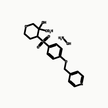 NO.O=C(O)C1(O)COCCC1S(=O)(=O)c1ccc(OCc2ccncc2)cc1